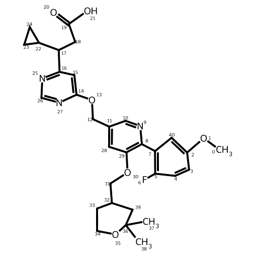 COc1ccc(F)c(-c2ncc(COc3cc(C(CC(=O)O)C4CC4)ncn3)cc2OCC2CCOC(C)(C)C2)c1